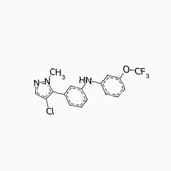 Cn1ncc(Cl)c1-c1cccc(Nc2cccc(OC(F)(F)F)c2)c1